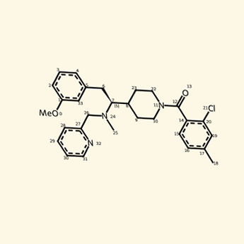 COc1cccc(C[C@@H](C2CCN(C(=O)c3ccc(C)cc3Cl)CC2)N(C)Cc2ccccn2)c1